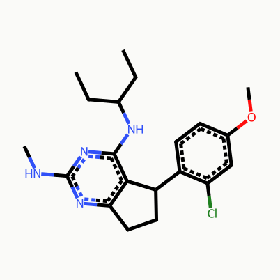 CCC(CC)Nc1nc(NC)nc2c1C(c1ccc(OC)cc1Cl)CC2